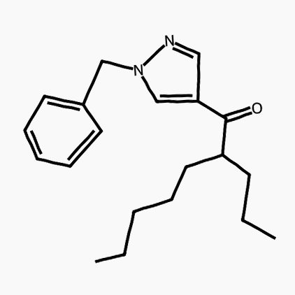 CCCCCC(CCC)C(=O)c1cnn(Cc2ccccc2)c1